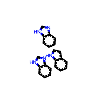 c1ccc2[nH]ccc2c1.c1ccc2[nH]cnc2c1.c1ccc2[nH]cnc2c1